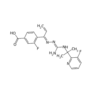 C=C/C(=N\N=C(/N)NC(C)(C)c1ncccc1F)c1ccc(C(=O)O)cc1F